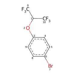 FC(F)(F)C(Oc1ccc(Br)cc1)C(F)(F)F